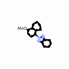 COc1ccc(-n2nc3ccccc3n2)c2ccccc12